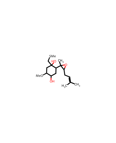 COC1CC(O)(CSC)C(C2(C)OC2CC=C(C)C)CC1O